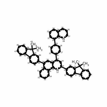 CC1(C)c2ccccc2-c2ccc(-c3cc(-c4ccc(-c5cccc6cccnc56)cc4)c4cc(-c5ccc6c(c5)C(C)(C)c5ccccc5-6)c5ccccc5c4n3)cc21